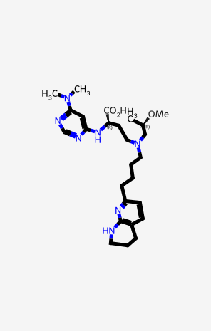 CO[C@H](C)CN(CCCCc1ccc2c(n1)NCCC2)CC[C@@H](Nc1cc(N(C)C)ncn1)C(=O)O